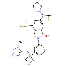 Cn1cnnc1CC1(c2cccc(N3Cc4c(cc(C(N5CCCC5)C(F)(F)F)cc4C(F)(F)F)C3=O)c2)COC1